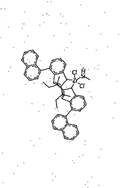 CCC(C)C1=Cc2c(-c3cccc4ccccc34)cccc2[CH]1[Zr]([Cl])([Cl])([CH]1C(C(C)CC)=Cc2c(-c3cccc4ccccc34)cccc21)[SiH](C)C